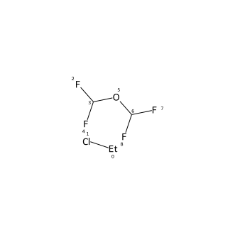 CCCl.FC(F)OC(F)F